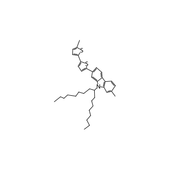 CCCCCCCCC(CCCCCCCC)n1c2cc(C)ccc2c2ccc(-c3ccc(-c4ccc(C)s4)s3)cc21